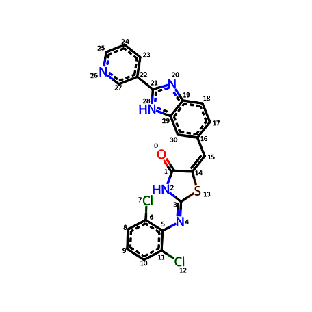 O=C1NC(=Nc2c(Cl)cccc2Cl)SC1=Cc1ccc2nc(-c3cccnc3)[nH]c2c1